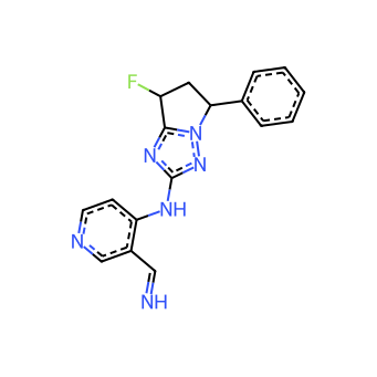 N=Cc1cnccc1Nc1nc2n(n1)C(c1ccccc1)CC2F